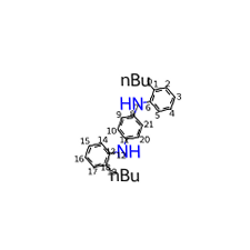 CCCCc1ccccc1Nc1ccc(Nc2ccccc2CCCC)cc1